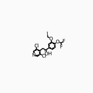 O[C@@H](Cc1c(Cl)cncc1Cl)c1ccc(OC(F)F)c(OCI)c1